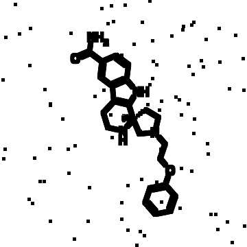 NC(=O)c1ccc2[nH]c3c(c2c1)CCN[C@@]31CCN(CCOc2ccccc2)C1